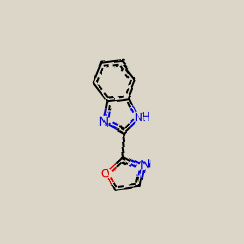 c1ccc2[nH]c(-c3ncco3)nc2c1